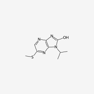 CSc1cnc2nc(O)n(C(C)C)c2n1